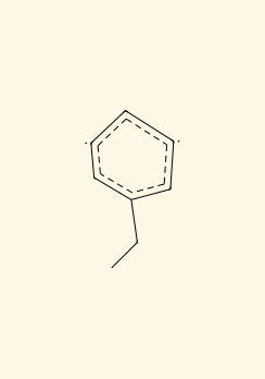 CCc1c[c]c[c]c1